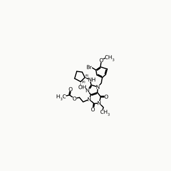 CCn1c(=O)c2c(nc(N[C@@H]3CCC[C@H]3O)n2Cc2ccc(OC)c(Br)c2)n(CCOC(C)=O)c1=O